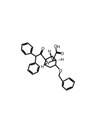 O=C(O)[C@@H]1[C@H]2CC[C@H](CC2OCc2ccccc2)N1C(=O)C(c1ccccc1)c1ccccc1